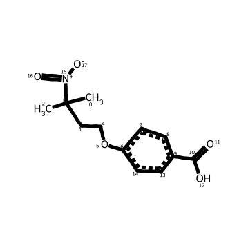 CC(C)(CCOc1ccc(C(=O)O)cc1)[N+](=O)[O-]